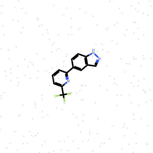 FC(F)(F)c1cccc(-c2ccc3[nH]ncc3c2)n1